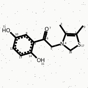 CC1=C(C)N(CC(=O)c2cc(O)ccc2O)CS1